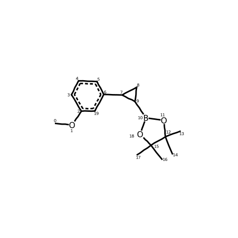 COc1cccc(C2CC2B2OC(C)(C)C(C)(C)O2)c1